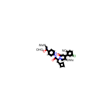 CN/C=C(\OC=O)c1ccc(NC(=O)C(CC2CCC2)n2cc(OC)c(-c3cc(Cl)ccc3C#N)cc2=O)cc1